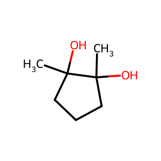 CC1(O)CCCC1(C)O